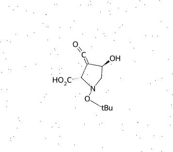 CC(C)(C)ON1C[C@H](O)C(=C=O)[C@H]1C(=O)O